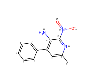 Cc1cc(-c2ccccc2)c(N)c([N+](=O)[O-])n1